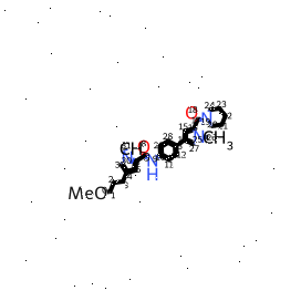 COCCCc1cc(C(=O)Nc2ccc(-c3cc(C(=O)N4CCCCC4)n(C)c3)cc2)n(C)c1